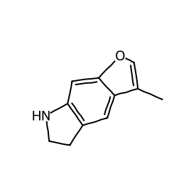 Cc1coc2cc3c(cc12)CCN3